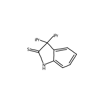 CC(C)C1(C(C)C)C(=S)Nc2ccccc21